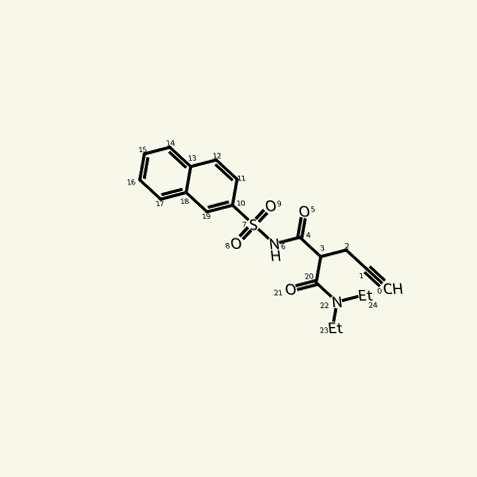 C#CCC(C(=O)NS(=O)(=O)c1ccc2ccccc2c1)C(=O)N(CC)CC